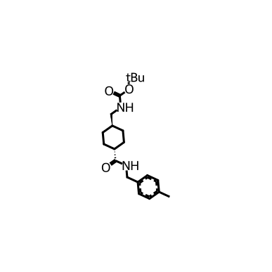 Cc1ccc(CNC(=O)[C@H]2CC[C@H](CNC(=O)OC(C)(C)C)CC2)cc1